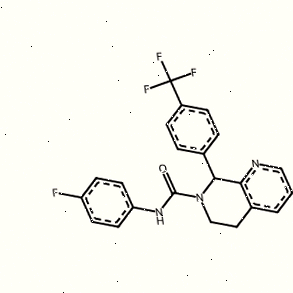 O=C(Nc1ccc(F)cc1)N1CCc2cccnc2C1c1ccc(C(F)(F)F)cc1